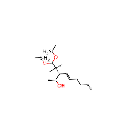 CCCC/C=C/[C@H]([C@H](C)O)C(C)(C)C(O[SiH2]C)O[SiH2]C